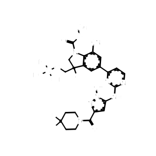 Cn1nc(C(=O)N2CCC(F)(F)CC2)cc1Nc1nccc(-c2cc(C#N)c3c(c2)C(C)(CO[Si](C)(C)C(C)(C)C)CN3C(=O)OC(C)(C)C)n1